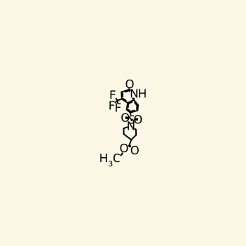 CCOC(=O)C1CCN(S(=O)(=O)c2ccc3[nH]c(=O)cc(C(F)(F)F)c3c2)CC1